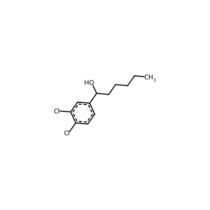 CCCCCC(O)c1ccc(Cl)c(Cl)c1